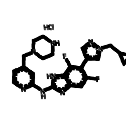 Cl.Fc1cc2nc(Nc3cc(CN4CCNCC4)ccn3)[nH]c2c(F)c1-c1cnn(CC2CC2)c1